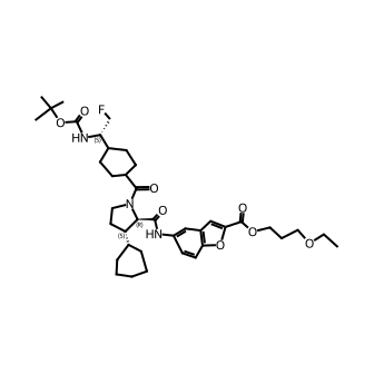 CCOCCCOC(=O)c1cc2cc(NC(=O)[C@H]3[C@H](C4CCCCC4)CCN3C(=O)C3CCC([C@@H](CF)NC(=O)OC(C)(C)C)CC3)ccc2o1